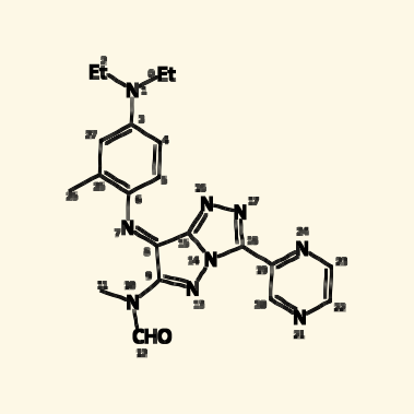 CCN(CC)c1ccc(/N=C2/C(N(C)C=O)=Nn3c2nnc3-c2cnccn2)c(C)c1